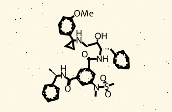 COc1cccc(C2(NC[C@@H](O)[C@H](Cc3ccccc3)NC(=O)c3cc(C(=O)N[C@H](C)c4ccccc4)cc(N(C)S(C)(=O)=O)c3)CC2)c1